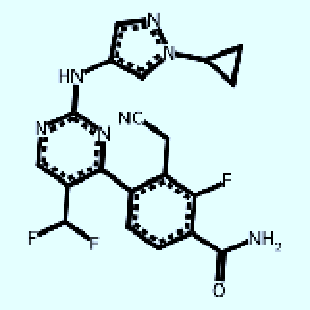 N#CCc1c(-c2nc(Nc3cnn(C4CC4)c3)ncc2C(F)F)ccc(C(N)=O)c1F